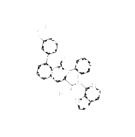 COc1cccc(-c2cccc3cc([C@H](C)Nc4nccc5scnc45)n(-c4ccccc4)c(=O)c23)c1